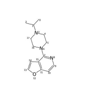 CC(C)N1CCN(c2nccc3occc23)CC1